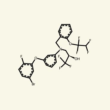 O[C@H](CN(Cc1ccccc1OC(F)(F)C(F)F)c1cccc(Oc2cc(Br)ccc2F)c1)C(F)(F)F